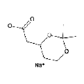 CC1(C)OCCC(CC(=O)[O-])O1.[Na+]